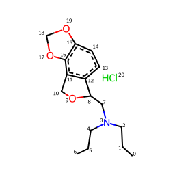 CCCN(CCC)CC1OCc2c1ccc1c2OCO1.Cl